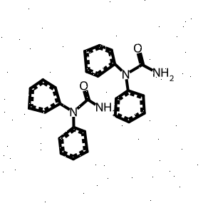 NC(=O)N(c1ccccc1)c1ccccc1.NC(=O)N(c1ccccc1)c1ccccc1